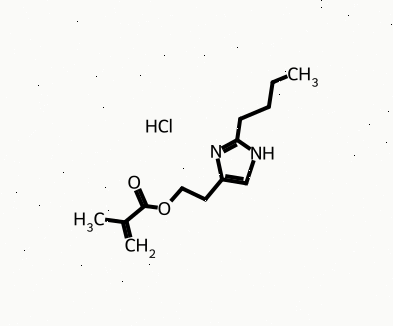 C=C(C)C(=O)OCCc1c[nH]c(CCCC)n1.Cl